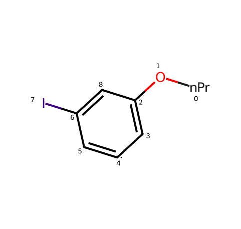 CCCOc1c[c]cc(I)c1